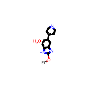 CCOc1nc2cc(-c3ccncc3)ccc2[nH]1.O